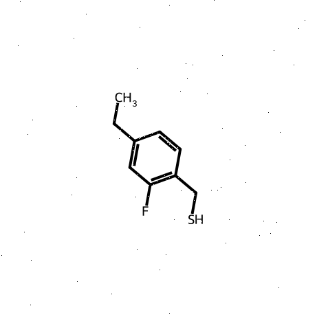 CCc1ccc(CS)c(F)c1